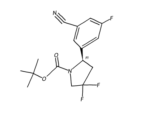 CC(C)(C)OC(=O)N1CC(F)(F)C[C@@H]1c1cc(F)cc(C#N)c1